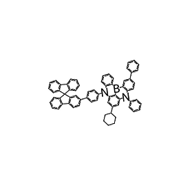 c1ccc(-c2ccc3c(c2)B2c4ccccc4N(c4ccc(-c5ccc6c(c5)C5(c7ccccc7-c7ccccc75)c5ccccc5-6)cc4)c4cc(C5CCCCC5)cc(c42)N3c2ccccc2)cc1